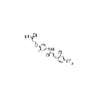 CCN(CC)CCOc1ccc(NC(=O)C=Cc2ccc(C(F)(F)F)cc2Cl)cc1C